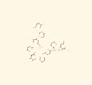 CO[C@H]1OC(CO)[C@@H](O[C@@H]2OC(C(=O)O)[C@@H](O[C@H]3OC(CO)[C@@H](O[C@@H]4OC(C(=O)O)[C@@H](O[C@H]5OC(CO)[C@@H](O[C@@H]6OC(C(=O)O)[C@@H](O[C@H]7OC(CO)[C@@H](O[C@@H]8OC(C(=O)O)[C@@H](O[C@H]9OC(CO)[C@@H](O)C(O)C9NC(C)=O)C(O)C8O)C(O)C7NC(C)=O)C(O)C6O)C(O)C5NC(C)=O)C(O)C4O)C(O)C3NC(C)=O)C(O)C2O)C(O)C1NC(C)=O